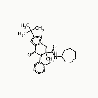 CC(C)(C)c1cc2n(n1)CC(C)(C(=O)NC1CCCCCC1)N(c1ccccc1F)C2=O